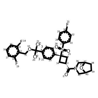 O=C([C@H]1C[C@@](c2ccc(C(OCc3c(F)cccc3F)(C(F)(F)F)C(F)(F)F)cc2)(S(=O)(=O)c2ccc(F)cc2)C1)N1CC2CCC(C1)O2